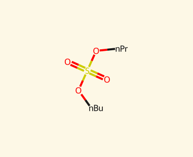 CCCCOS(=O)(=O)OCCC